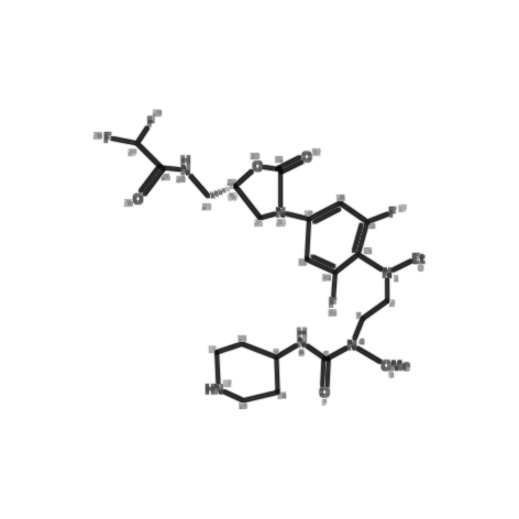 CCN(CCN(OC)C(=O)NC1CCNCC1)c1c(F)cc(N2C[C@H](CNC(=O)C(F)F)OC2=O)cc1F